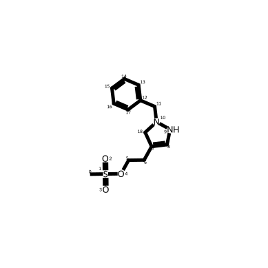 CS(=O)(=O)OCCC1=CNN(Cc2ccccc2)C1